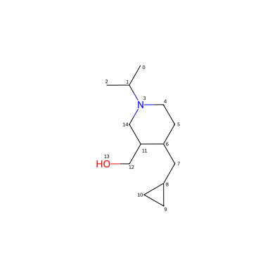 CC(C)N1CCC(CC2CC2)C(CO)C1